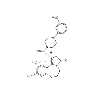 COc1cccc(N2CCN(C(=O)[C@@H]3[C@@H](C)CC45c6ccc(C)cc6CCCN4C(=O)C[C@@H]35)CC2)c1